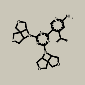 Nc1cc(C(F)F)c(-c2nc(N3C4COCC45COCC35)nc(N3C4COCC45COCC35)n2)cn1